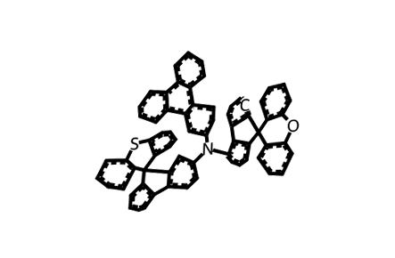 c1ccc2c(c1)Oc1ccccc1C21c2ccccc2-c2c(N(c3ccc4c(c3)C3(c5ccccc5Sc5ccccc53)c3ccccc3-4)c3ccc4c5ccccc5c5ccccc5c4c3)cccc21